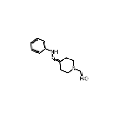 O=NCN1CCC(=NNc2ccccc2)CC1